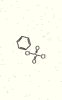 O=S(=O)(Cl)Cl.c1ccccc1